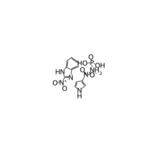 NP(=O)(O)O.O=[N+]([O-])c1cc[nH]c1.O=[N+]([O-])c1nc2ccccc2[nH]1